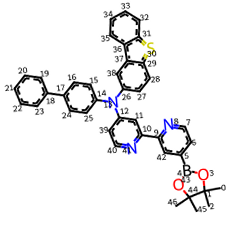 CC1(C)OB(c2ccnc(-c3cc(N(c4ccc(-c5ccccc5)cc4)c4ccc5sc6ccccc6c5c4)ccn3)c2)OC1(C)C